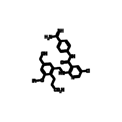 CC(C)Oc1cc(CO)cc(CNc2ncc(Cl)cc2C(=O)Nc2ccc(C(=N)N)cc2)c1CCC(=O)O